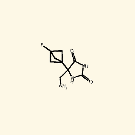 NCC1(C23CC(F)(C2)C3)NC(=O)NC1=O